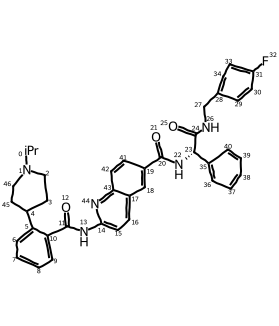 CC(C)N1CCC(c2ccccc2C(=O)Nc2ccc3cc(C(=O)N[C@H](C(=O)NCc4ccc(F)cc4)c4ccccc4)ccc3n2)CC1